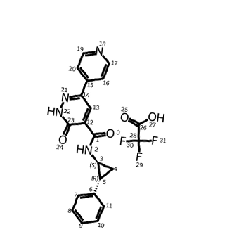 O=C(N[C@H]1C[C@@H]1c1ccccc1)c1cc(-c2ccncc2)n[nH]c1=O.O=C(O)C(F)(F)F